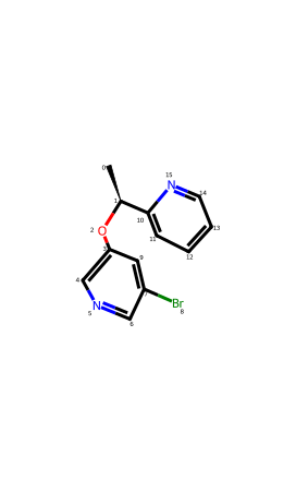 C[C@H](Oc1cncc(Br)c1)c1ccccn1